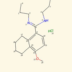 CCCN=C(NCCC)c1ccc(OC)c2c1CCCC2.Cl